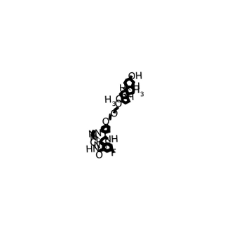 Cn1ncnc1[C@H]1c2n[nH]c(=O)c3cc(F)cc(c23)N[C@@H]1c1ccc(OCCOCCO[C@H]2CC[C@H]3[C@@H]4CC[C@H]5CC(O)CC[C@]5(C)[C@H]4CC[C@]23C)cc1